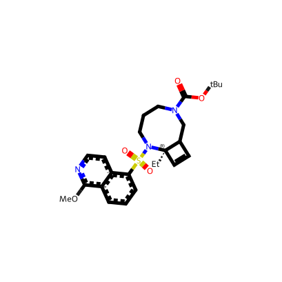 CC[C@@]12C=CC1CN(C(=O)OC(C)(C)C)CCCN2S(=O)(=O)c1cccc2c(OC)nccc12